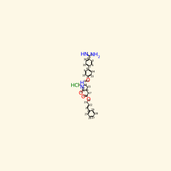 Cl.N=C(N)c1ccc(-c2ccc(OC[C@@H]3C[C@@H](CC(=O)OCC=Cc4ccccc4)C(=O)N3)cc2)cc1